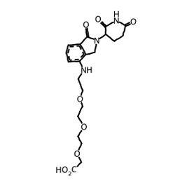 O=C(O)COCCOCCOCCNc1cccc2c1CN(C1CCC(=O)NC1=O)C2=O